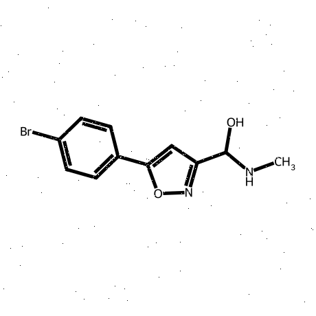 CNC(O)c1cc(-c2ccc(Br)cc2)on1